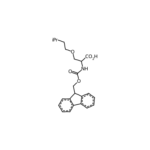 CC(C)CCOCC(NC(=O)OCC1c2ccccc2-c2ccccc21)C(=O)O